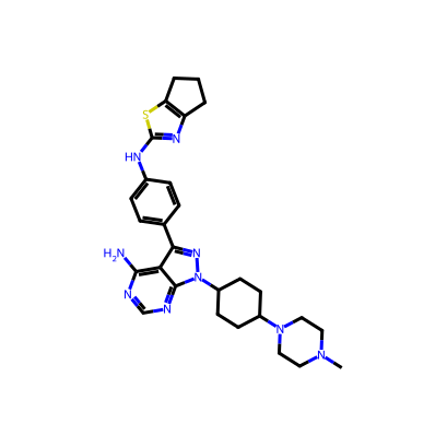 CN1CCN(C2CCC(n3nc(-c4ccc(Nc5nc6c(s5)CCC6)cc4)c4c(N)ncnc43)CC2)CC1